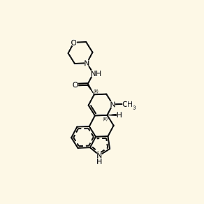 CN1C[C@H](C(=O)NN2CCOCC2)C=C2c3cccc4[nH]cc(c34)C[C@H]21